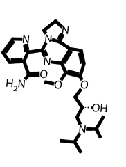 COc1c(OC[C@H](O)CN(C(C)C)C(C)C)ccc2c1N=C(c1ncccc1C(N)=O)N1CCN=C21